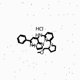 COCC1CCCN1c1cccc(Nc2cc(-c3ccccc3)nn3ccnc23)n1.Cl